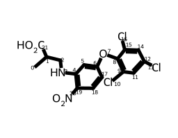 CC(CNc1cc(Oc2c(Cl)cc(Cl)cc2Cl)ccc1[N+](=O)[O-])C(=O)O